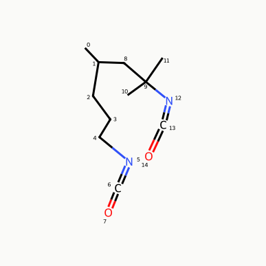 CC(CCCN=C=O)CC(C)(C)N=C=O